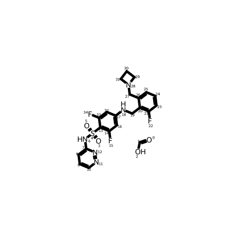 O=CO.O=S(=O)(Nc1cccnn1)c1c(F)cc(NCc2c(F)cccc2CN2CCC2)cc1F